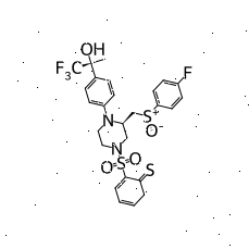 C[C@@](O)(c1ccc(N2CCN(S(=O)(=O)C3=CC=CCC3=S)C[C@@H]2C[S@@+]([O-])c2ccc(F)cc2)cc1)C(F)(F)F